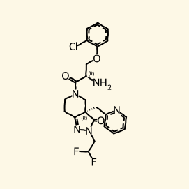 N[C@H](COc1ccccc1Cl)C(=O)N1CCC2=NN(CC(F)F)C(=O)[C@]2(Cc2ccccn2)C1